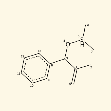 C=C(C)C(O[SiH](C)C)c1ccccc1